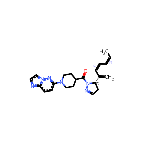 C=C(/C=C\C=C/C)[C@@H]1CC=NN1C(=O)C1CCN(c2ccc3nccn3n2)CC1